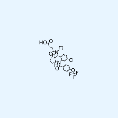 O=C(O)CCC(=O)N(C1CCC1)[C@H]1c2ccc(Cl)cc2N(C(=O)c2ccc(OC(F)(F)F)cc2)[C@@H]2CCC[C@@H]21